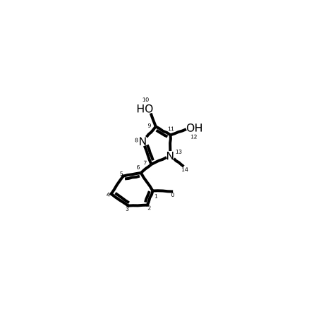 Cc1ccccc1-c1nc(O)c(O)n1C